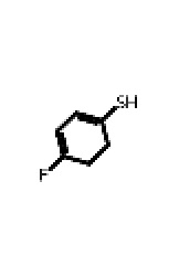 FC1=CC=C(S)CC1